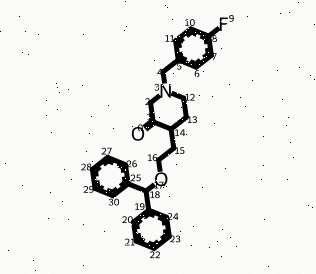 O=C1CN(Cc2ccc(F)cc2)CCC1CCOC(c1ccccc1)c1ccccc1